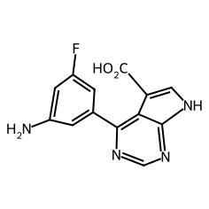 Nc1cc(F)cc(-c2ncnc3[nH]cc(C(=O)O)c23)c1